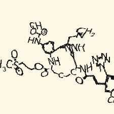 C=NCc1[nH]c2nc1-c1ccc(NC(=O)OC)cc1N[C@@H](C(=O)OCCS(C)(=O)=O)CCCC[C@@H]2NC(=O)/C=C/c1cc(Cl)ccc1-n1cnnn1